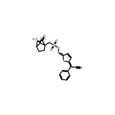 CC1(C)C2CCC1(CS(=O)(=O)ON=C1C=CC(=C(C#N)c3ccccc3)S1)C(=O)C2